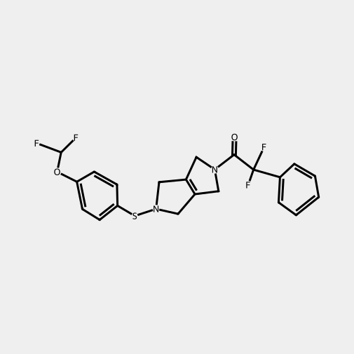 O=C(N1CC2=C(CN(Sc3ccc(OC(F)F)cc3)C2)C1)C(F)(F)c1ccccc1